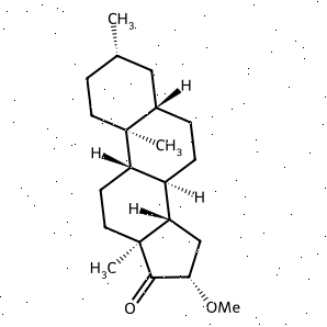 CO[C@H]1C[C@H]2[C@@H]3CC[C@H]4C[C@@H](C)CC[C@]4(C)[C@H]3CC[C@]2(C)C1=O